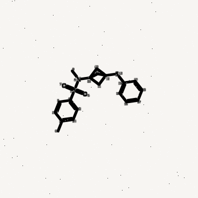 Cc1ccc(S(=O)(=O)N(C)C23CC(Sc4ccccc4)(C2)C3)cc1